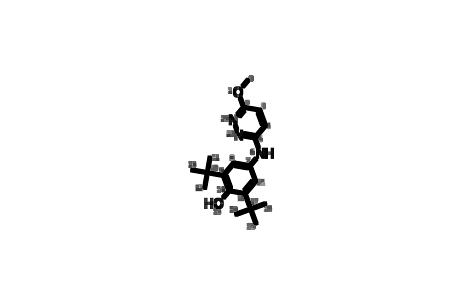 COc1ccc(Nc2cc(C(C)(C)C)c(O)c(C(C)(C)C)c2)nn1